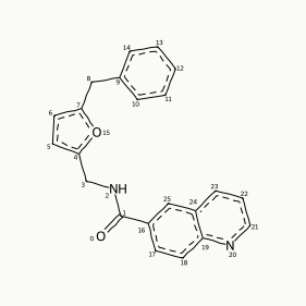 O=C(NCc1ccc(Cc2ccccc2)o1)c1ccc2ncccc2c1